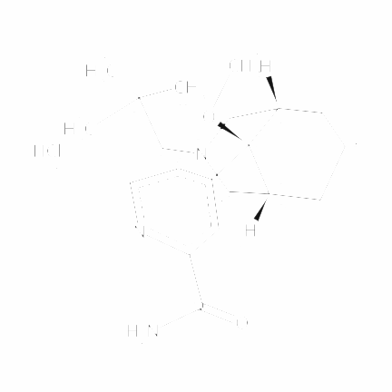 CO[C@]1(c2ccnc(C(N)=O)c2)[C@@H]2CCC[C@H]1CN(CC(C)(C)C)C2.Cl